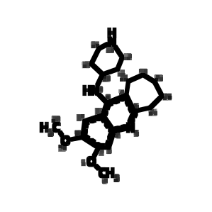 COc1cc2nc3c(c(NC4CCNCC4)c2cc1OC)CCCCC3